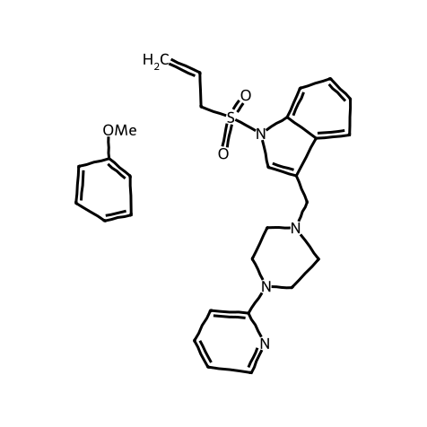 C=CCS(=O)(=O)n1cc(CN2CCN(c3ccccn3)CC2)c2ccccc21.COc1ccccc1